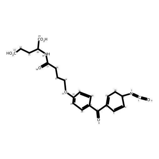 O=C=NC1C=CC(C(=O)c2ccc(OCCCC(=O)NC(CCC(=O)O)C(=O)O)cc2)=CC1